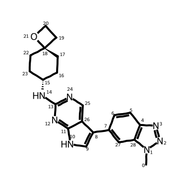 Cn1nnc2ccc(-c3c[nH]c4nc(N[C@H]5CC[C@@]6(CCO6)CC5)ncc34)cc21